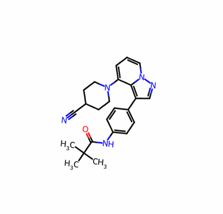 CC(C)(C)C(=O)Nc1ccc(-c2cnn3cccc(N4CCC(C#N)CC4)c23)cc1